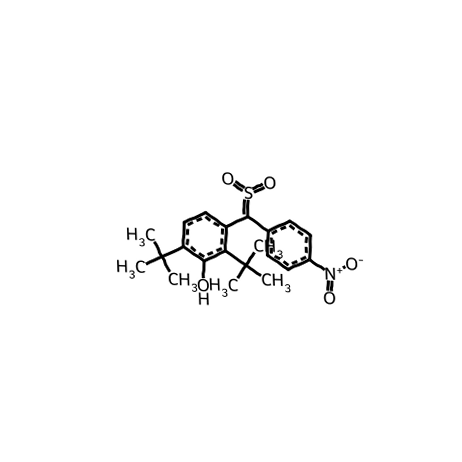 CC(C)(C)c1ccc(C(c2ccc([N+](=O)[O-])cc2)=S(=O)=O)c(C(C)(C)C)c1O